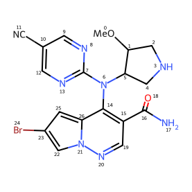 COC1CNCC1N(c1ncc(C#N)cn1)c1c(C(N)=O)cnn2cc(Br)cc12